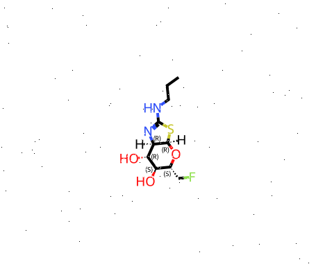 CCCNC1=N[C@@H]2[C@@H](O)[C@H](O)[C@@H](CF)O[C@@H]2S1